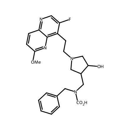 COc1ccc2ncc(F)c(CCN3CC(O)C(CN(Cc4ccccc4)C(=O)O)C3)c2n1